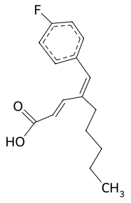 CCCCCC(C=CC(=O)O)=Cc1ccc(F)cc1